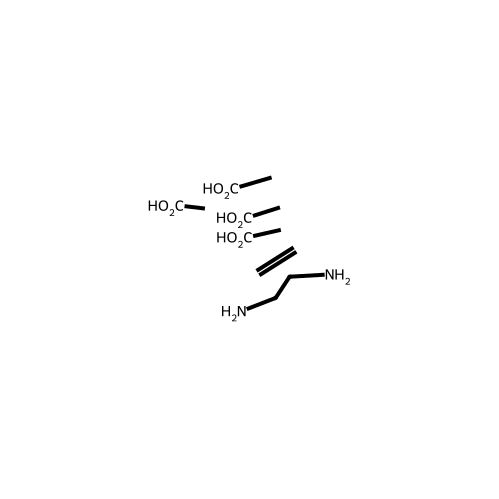 C=C.CC(=O)O.CC(=O)O.CC(=O)O.CC(=O)O.NCCN